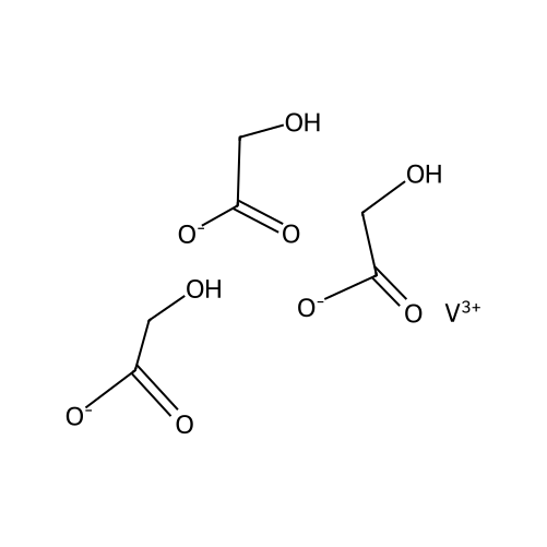 O=C([O-])CO.O=C([O-])CO.O=C([O-])CO.[V+3]